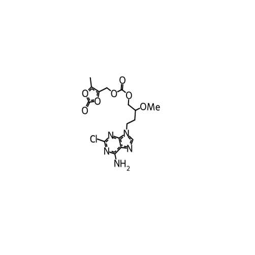 COC(CCn1cnc2c(N)nc(Cl)nc21)COC(=O)OCc1oc(=O)oc1C